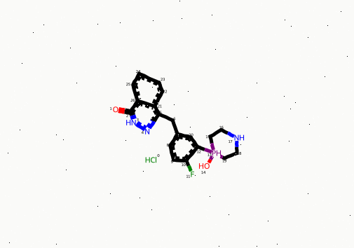 Cl.O=c1[nH]nc(Cc2ccc(F)c([PH]3(O)CCNCC3)c2)c2ccccc12